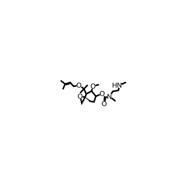 CNCCN(C)C(=O)OC1CC[C@]2(CO2)C(C(C)(C)OCC=C(C)C)C1OC